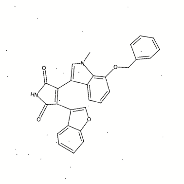 Cn1cc(C2=C(c3coc4ccccc34)C(=O)NC2=O)c2cccc(OCc3ccccc3)c21